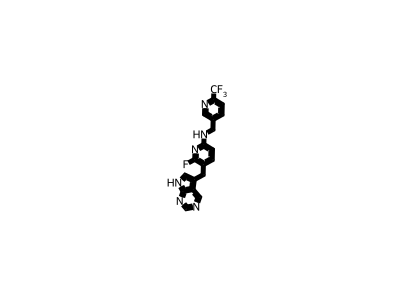 Fc1nc(NCc2ccc(C(F)(F)F)nc2)ccc1Cc1c[nH]c2ncncc12